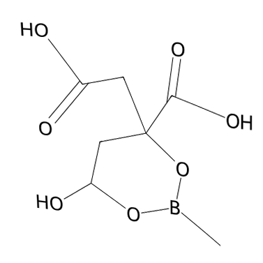 CB1OC(O)CC(CC(=O)O)(C(=O)O)O1